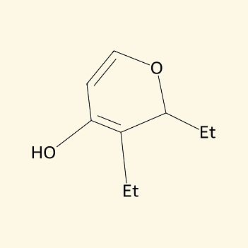 CCC1=C(O)C=COC1CC